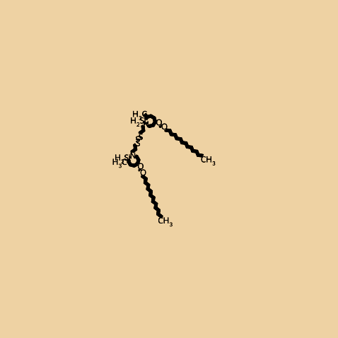 CCCCCCCCCCCCCCCOCOC1CCC(C)[SiH2]N(CCCSSSCCCN2CCC(OCOCCCCCCCCCCCCCCC)CCC(C)[SiH2]2)CC1